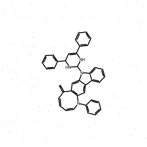 C=C1/C=C\C=C/N(c2ccccc2)c2cc3c4ccccc4n(C4NC(c5ccccc5)=CC(c5ccccc5)N4)c3cc21